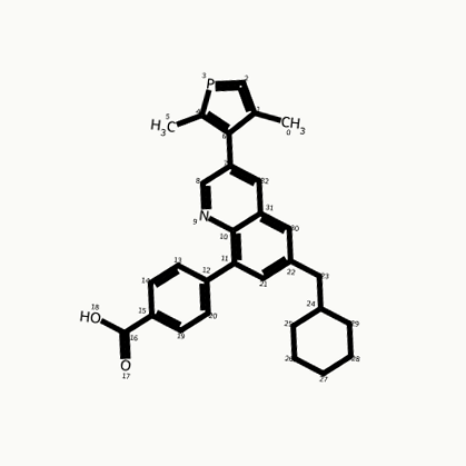 CC1=C=PC(C)=C1c1cnc2c(-c3ccc(C(=O)O)cc3)cc(CC3CCCCC3)cc2c1